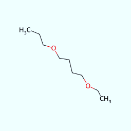 CCCOCCCCOCC